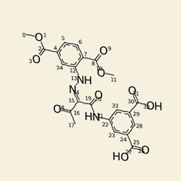 COC(=O)c1ccc(C(=O)OC)c(N/N=C(/C(C)=O)C(=O)Nc2cc(C(=O)O)cc(C(=O)O)c2)c1